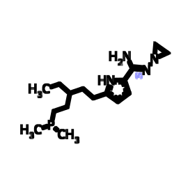 CCC(CCc1ccc(/C(N)=N/N2CC2)[nH]1)CCP(C)C